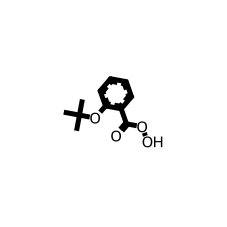 CC(C)(C)Oc1ccccc1C(=O)OO